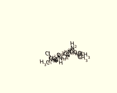 CCn1cc(Cl)c2cc(C(=O)NC3CCc4nc(N5CC(N)C(OCC(C)OC)C5)ccc4C3)nnc21